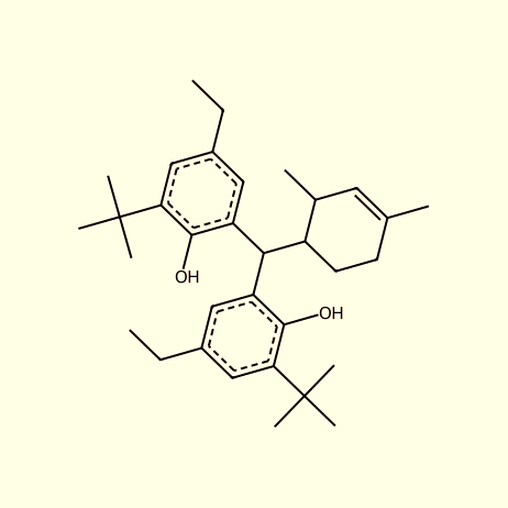 CCc1cc(C(c2cc(CC)cc(C(C)(C)C)c2O)C2CCC(C)=CC2C)c(O)c(C(C)(C)C)c1